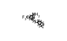 CC1(C)CSc2cnc(CCSc3nc(N)cc(C(F)(F)F)n3)cc21